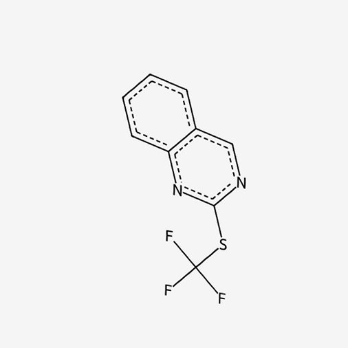 FC(F)(F)Sc1ncc2ccccc2n1